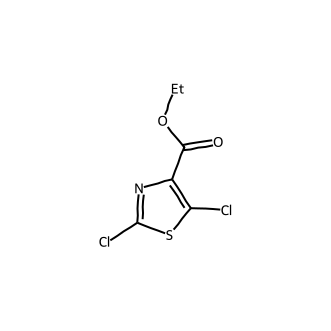 CCOC(=O)c1nc(Cl)sc1Cl